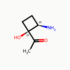 CC(=O)[C@]1(O)CC[C@H]1N